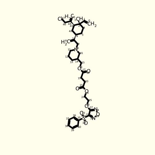 C=C[C@]1(C)CC[C@@H](C(=C)CN2CCCC(COC(=O)CCC(=O)OCCOc3nonc3S(=O)(=O)c3ccccc3)C2)C[C@H]1C(=C)CCl